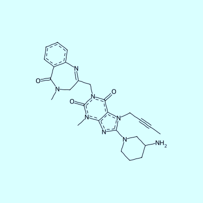 CC#CCn1c(N2CCCC(N)C2)nc2c1c(=O)n(CC1=Nc3ccccc3C(=O)N(C)C1)c(=O)n2C